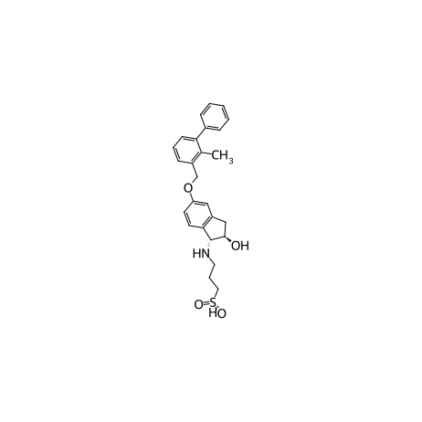 Cc1c(COc2ccc3c(c2)C[C@@H](O)[C@@H]3NCCC[SH](=O)=O)cccc1-c1ccccc1